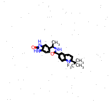 CC(NC(=O)c1ccc2nc(C(C)(C)C(F)(F)F)ccc2c1)c1ccc2[nH]c(=O)[nH]c2c1